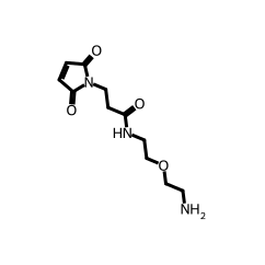 NCCOCCNC(=O)CCN1C(=O)C=CC1=O